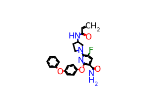 C=CC(=O)NC1CCN(c2nc(Oc3ccc(Oc4ccccc4)cc3)c(C(N)=O)cc2F)C1